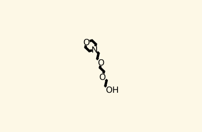 OCCOCCOCCN1CCOCC1